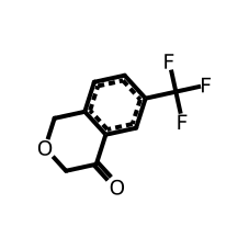 O=C1COCc2ccc(C(F)(F)F)cc21